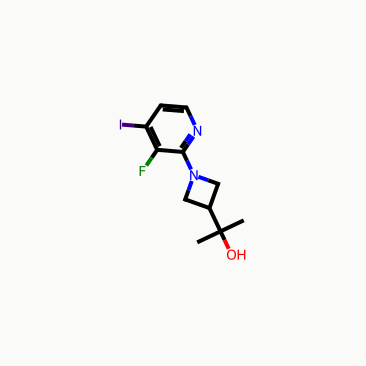 CC(C)(O)C1CN(c2nccc(I)c2F)C1